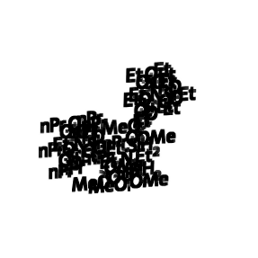 CCC([SiH2]OC(C)(OC)OC)N(C(CC)[SiH2]OC(C)(OC)OC)C(CC)[SiH2]OC(C)(OC)OC.CCCO[Si](OCCC)(OCCC)C(CC)N(C(CC)[Si](OCCC)(OCCC)OCCC)C(CC)[Si](OCCC)(OCCC)OCCC.CCO[Si](OCC)(OCC)C(CC)N(C(CC)[Si](OCC)(OCC)OCC)C(CC)[Si](OCC)(OCC)OCC